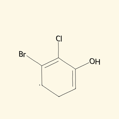 OC1=CC[CH]C(Br)=C1Cl